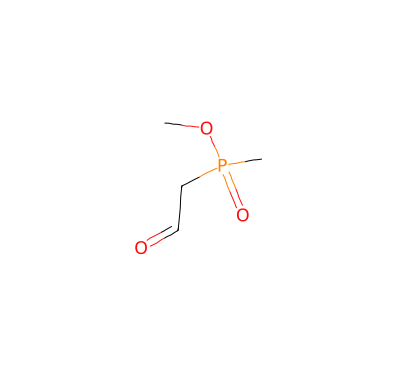 COP(C)(=O)CC=O